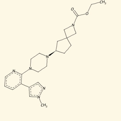 CCOC(=O)N1CC2(CC[C@@H](N3CCN(c4ncccc4-c4cnn(C)c4)CC3)C2)C1